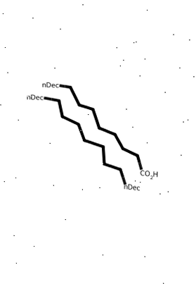 CCCCCCCCCCCCCCCCCC(=O)O.CCCCCCCCCCCCCCCCCCCCCCCCCCC